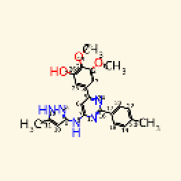 COc1cc(-c2cc(Nc3cc(C)[nH]n3)nc(-c3ccc(C)cc3)n2)cc(O)c1OC